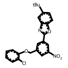 CC(C)(C)c1ccc2oc(-c3cc(COc4ccccc4Cl)cc([N+](=O)[O-])c3)nc2c1